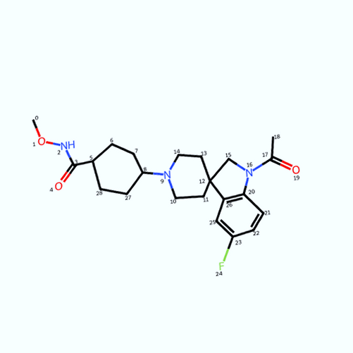 CONC(=O)C1CCC(N2CCC3(CC2)CN(C(C)=O)c2ccc(F)cc23)CC1